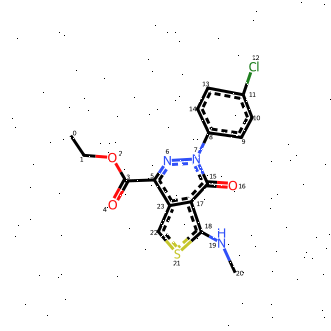 CCOC(=O)c1nn(-c2ccc(Cl)cc2)c(=O)c2c(NC)scc12